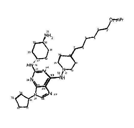 CCCOCCCCCCC1CCN(Nc2nc(N[C@H]3CC[C@H](N)CC3)nc3c2ncn3C2CCCC2)CC1